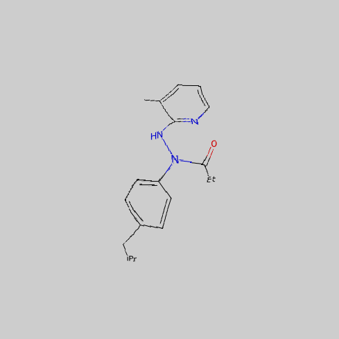 CCC(=O)N(Nc1ncccc1C)c1ccc(CC(C)C)cc1